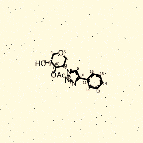 CC(=O)O[C@H]1[C@@H](O)COC[C@@H]1n1cc(-c2ccccc2)nn1